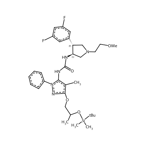 COCCN1C[C@@H](NC(=O)Nc2c(C)c(OCC(C)O[Si](C)(C)C(C)(C)C)nn2-c2ccccc2)[C@H](c2cc(F)cc(F)c2)C1